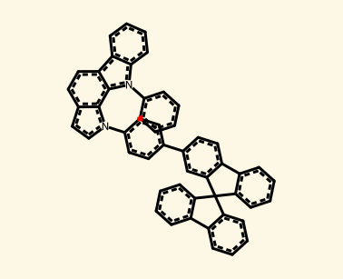 c1ccc(-n2c3ccccc3c3ccc4ccn(-c5ccc(-c6ccc7c(c6)C6(c8ccccc8-c8ccccc86)c6ccccc6-7)cc5)c4c32)cc1